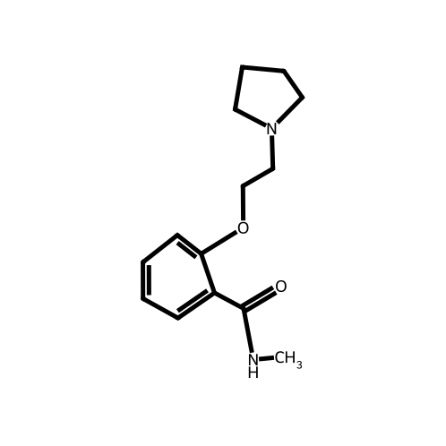 CNC(=O)c1ccccc1OCCN1CCCC1